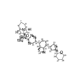 CC(C)(C)OC(=O)N1[C@@H]2CCC[C@H]1CC(Nc1ncc(-c3ccc(-c4cnn(C5CCCCO5)c4)c4ncsc34)nn1)C2